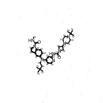 CNC(=O)n1ccc2cc(N(CCC(C)(C)C)c3ccnc(NC(=O)N4CC(N5CCN(C(C)(C)C)CC5)C4)c3)ccc21